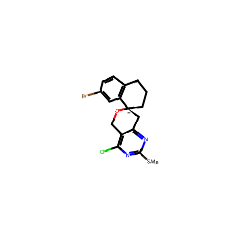 CSc1nc(Cl)c2c(n1)C[C@@]1(CCCc3ccc(Br)cc31)OC2